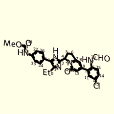 CCc1nc(C2CCc3cc(-c4cc(Cl)ccc4NC=O)cc(=O)n32)[nH]c1-c1ccc(NC(=O)OC)cc1